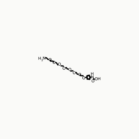 NCCOCCOCCOCCOCCOCCOCCOCCOc1ccc(NC(=O)O)cc1